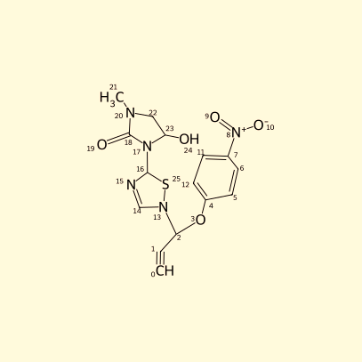 C#CC(Oc1ccc([N+](=O)[O-])cc1)N1C=NC(N2C(=O)N(C)CC2O)S1